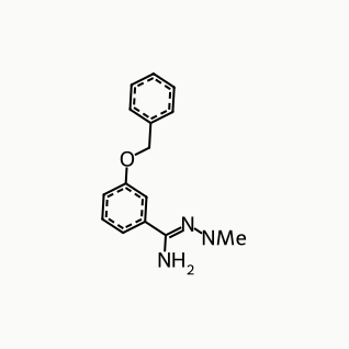 CNN=C(N)c1cccc(OCc2ccccc2)c1